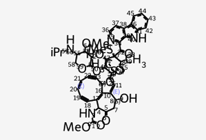 COC(=O)NC1C(=O)C[C@H](O)/C(=C/CS(C)=S)C2=C1C#C/C=C\C#C[C@@H]2OC1OC(C)C(SC)(C(=O)c2nccc3c2[nH]c2ccccc23)C(O)C1OC1CC(OC)C(NC(C)C)CO1